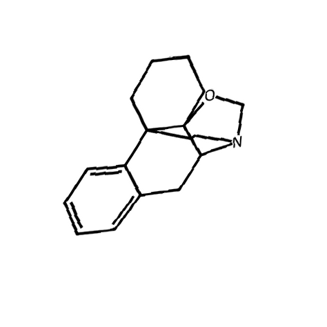 c1ccc2c(c1)CC1N3CCC24CCCCC14OC3